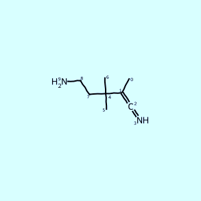 CC(=C=N)C(C)(C)CCN